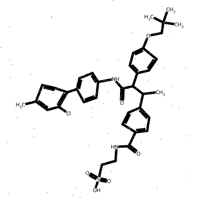 Cc1ccc(-c2ccc(NC(=O)C(c3ccc(OCC(C)(C)C)cc3)C(C)c3ccc(C(=O)NCCS(=O)(=O)O)cc3)cc2)c(Cl)c1